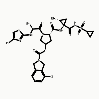 CC[C@@H]1C[C@]1(NC(=O)[C@@H]1C[C@@H](OC(=O)N2Cc3cccc(Cl)c3C2)CN1C(=O)[C@@H](Nc1nc(C(C)C)cs1)C(C)C)C(=O)NS(=O)(=O)C1CC1